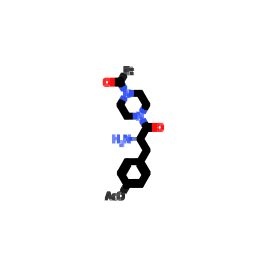 CCC(=O)N1CCN(C(=O)[C@@H](N)Cc2ccc(OC(C)=O)cc2)CC1